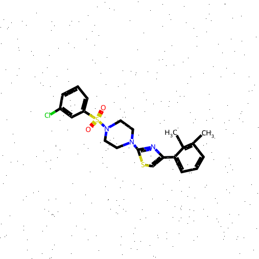 Cc1cccc(-c2csc(N3CCN(S(=O)(=O)c4cccc(Cl)c4)CC3)n2)c1C